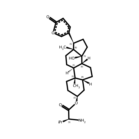 CC(C)[C@H](N)C(=O)O[C@H]1CC[C@@]2(C)[C@H](CC[C@@H]3[C@@H]2CC[C@]2(C)[C@@H](c4ccc(=O)oc4)CC[C@]32O)C1